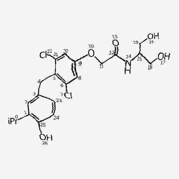 CC(C)c1cc(Cc2c(Cl)cc(OCC(=O)NC(CO)CO)cc2Cl)ccc1O